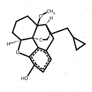 COC12CCC[C@@H]3Oc4c(O)ccc5c4[C@@]31CCN(CC1CC1)[C@@H]2C5